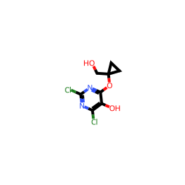 OCC1(Oc2nc(Cl)nc(Cl)c2O)CC1